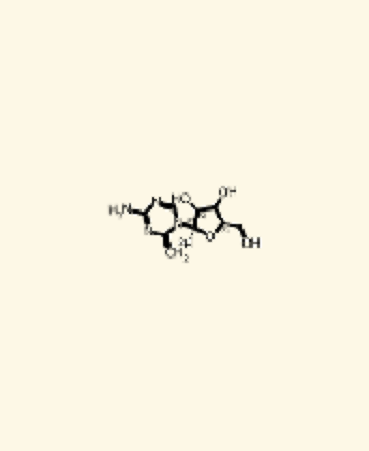 [2H][C@@]1(N2C=NC(N)=NC2=C)O[C@H](CO)C(O)[C@@H]1O